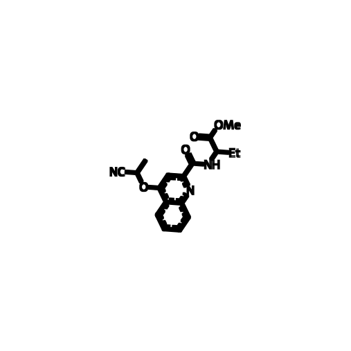 CCC(NC(=O)c1cc(OC(C)C#N)c2ccccc2n1)C(=O)OC